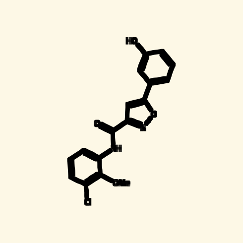 COc1c(Cl)cccc1NC(=O)c1cc(-c2cccc(O)c2)on1